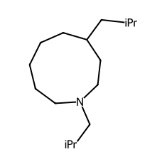 CC(C)CC1CCCCCN(CC(C)C)CC1